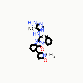 CC(Nc1ncnc(N)c1C#N)c1nc2cccc(-c3ccc(=O)n(C)c3)c2c(=O)n1-c1ccccc1